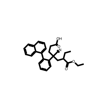 CCOC(=O)C(CC)CC(C#N)(CCC(=O)O)c1ccccc1-c1cccc2ccccc12